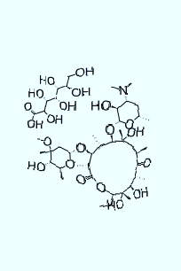 CC[C@H]1OC(=O)[C@H](C)[C@@H](O[C@H]2C[C@@](C)(OC)[C@@H](O)[C@H](C)O2)[C@H](C)[C@@H](O[C@H]2O[C@@H](C)C[C@@H](N(C)C)[C@@H]2O)[C@](C)(O)C[C@@H](C)C(=O)[C@H](C)[C@@H](O)[C@]1(C)O.O=C(O)C(O)[C@H](O)[C@@H](O)[C@H](O)[C@H](O)CO